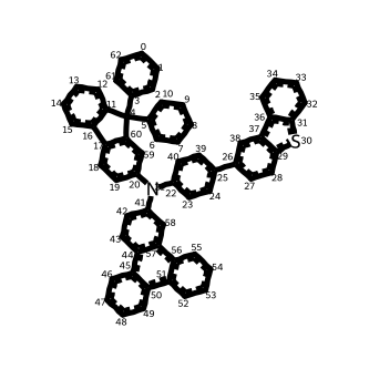 c1ccc(C2(c3ccccc3)c3ccccc3-c3ccc(N(c4ccc(-c5ccc6sc7ccccc7c6c5)cc4)c4ccc5c6ccccc6c6ccccc6c5c4)cc32)cc1